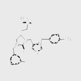 CS(=O)(=O)CC[C@H]1CN(Cc2cccc(Cl)c2)C(=O)N1Cc1cncn1Cc1ccc(C#N)cc1